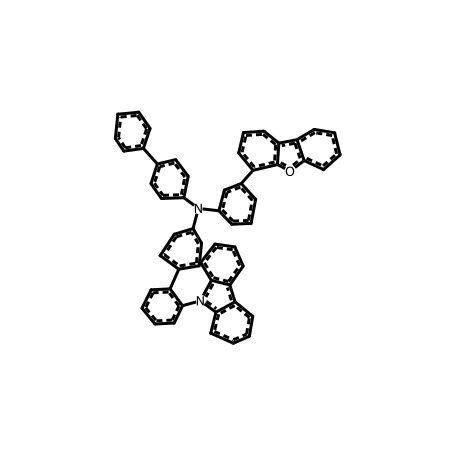 c1ccc(-c2ccc(N(c3ccc(-c4ccccc4-n4c5ccccc5c5ccccc54)cc3)c3cccc(-c4cccc5c4oc4ccccc45)c3)cc2)cc1